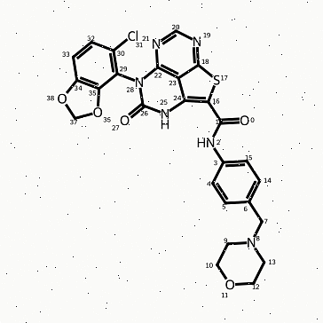 O=C(Nc1ccc(CN2CCOCC2)cc1)c1sc2ncnc3c2c1NC(=O)N3c1c(Cl)ccc2c1OCO2